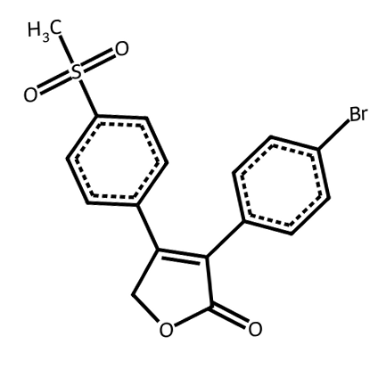 CS(=O)(=O)c1ccc(C2=C(c3ccc(Br)cc3)C(=O)OC2)cc1